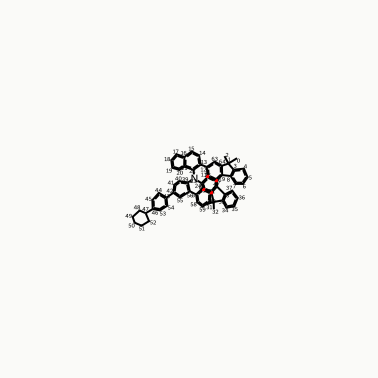 CC1(C)c2ccccc2-c2ccc(-c3ccc4ccccc4c3N(c3ccc4c(c3)C(C)(C)c3ccccc3-4)c3ccc(-c4ccc(C5CCCCC5)cc4)cc3-c3ccccc3)cc21